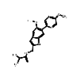 COc1cnc(-c2cc3[nH]c(CNC(=O)C(C)O)cc3cc2OC)cn1